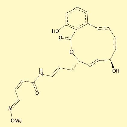 CO/N=C/C=C\C(=O)N/C=C/C[C@H]1/C=C/[C@H](O)/C=C\C=C\c2cccc(O)c2C(=O)O1